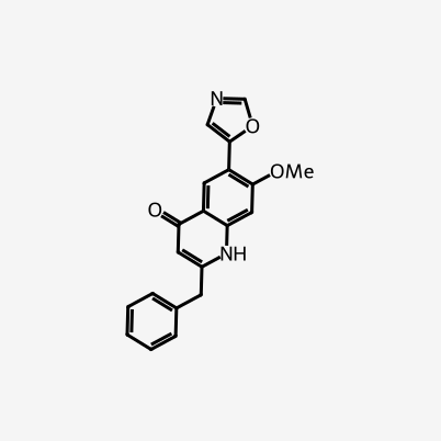 COc1cc2[nH]c(Cc3ccccc3)cc(=O)c2cc1-c1cnco1